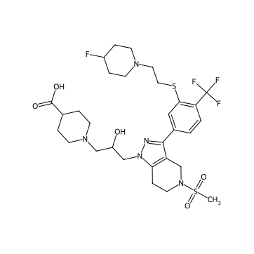 CS(=O)(=O)N1CCc2c(c(-c3ccc(C(F)(F)F)c(SCCN4CCC(F)CC4)c3)nn2CC(O)CN2CCC(C(=O)O)CC2)C1